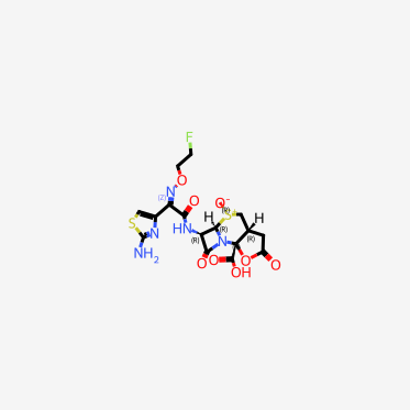 Nc1nc(/C(=N/OCCF)C(=O)N[C@@H]2C(=O)N3[C@@H]2[S@@+]([O-])C[C@@H]2CC(=O)O[C@@]23C(=O)O)cs1